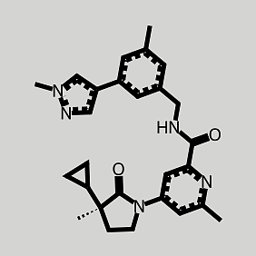 Cc1cc(CNC(=O)c2cc(N3CC[C@@](C)(C4CC4)C3=O)cc(C)n2)cc(-c2cnn(C)c2)c1